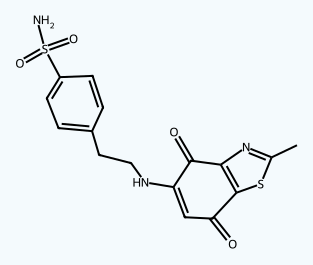 Cc1nc2c(s1)C(=O)C=C(NCCc1ccc(S(N)(=O)=O)cc1)C2=O